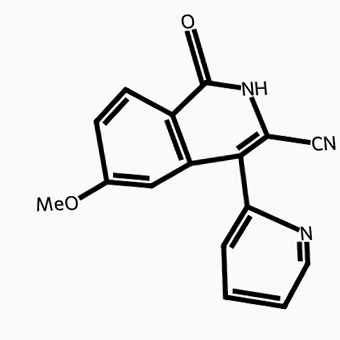 COc1ccc2c(=O)[nH]c(C#N)c(-c3ccccn3)c2c1